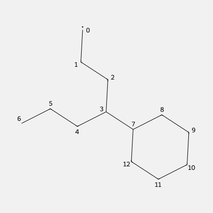 [CH2]CCC(CCC)C1CCCCC1